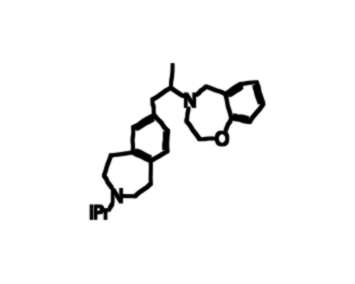 CC(C)N1CCc2ccc(CC(C)N3CCOc4ccccc4C3)cc2CC1